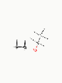 C[Si](C)(C)[Si](C)(C)O[Si](C)(C)[Si](C)(C)C